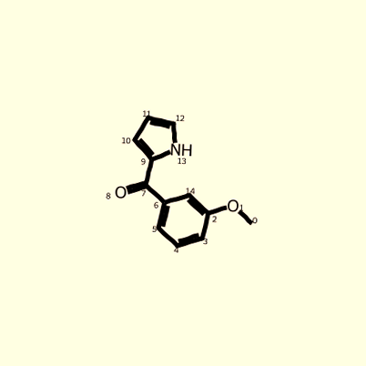 COc1cccc(C(=O)c2ccc[nH]2)c1